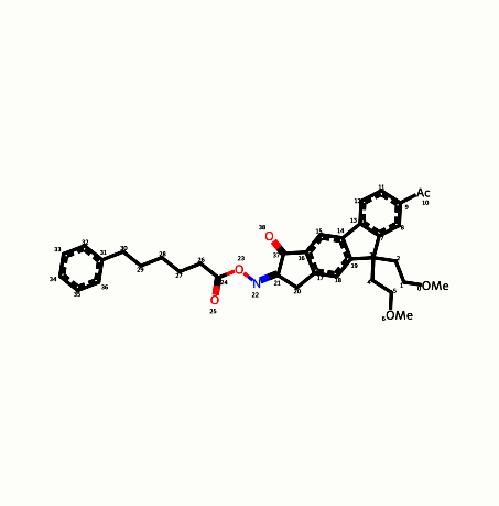 COCCC1(CCOC)c2cc(C(C)=O)ccc2-c2cc3c(cc21)C/C(=N/OC(=O)CCCCCc1ccccc1)C3=O